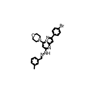 Cc1cccc(C=NNc2cc(N3CCOCC3)n3nc(-c4ccc(Br)cc4)cc3n2)c1